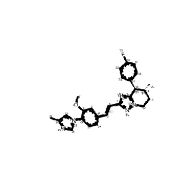 COc1cc(/C=C/c2nc3n(n2)CC[C@@H](C)[C@@H]3c2ccc(F)cc2)ccc1-n1cnc(C)c1